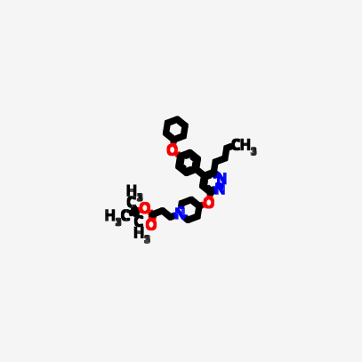 CCCCc1nnc(OC2CCN(CCC(=O)OC(C)(C)C)CC2)cc1-c1ccc(OC2CCCCC2)cc1